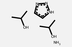 CC(C)O.CC(C)O.N.c1c[nH]nn1